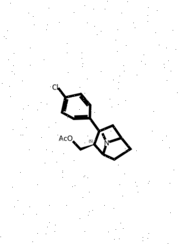 CC(=O)OC[C@H]1C(c2ccc(Cl)cc2)CC2CCC1N2C